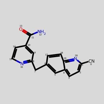 N#Cc1ccc2cc(Cc3cc(C(N)=O)ccn3)ccc2n1